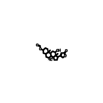 CC12CCC(OC=O)CC1CCC1C2CC(O)C2(C)C(C3=CC(=O)OC3)CCC12O